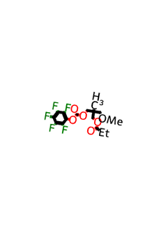 CCC(=O)OCC(C)(COC)COC(=O)Oc1c(F)c(F)c(F)c(F)c1F